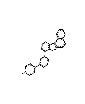 Brc1ccc(-c2cccc(-c3cccc4c3sc3ccc5ccccc5c34)c2)cc1